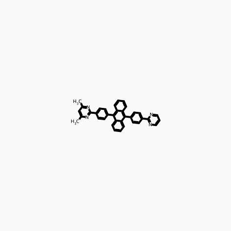 Cc1cc(C)nc(-c2ccc(-c3c4ccccc4c(-c4ccc(-c5ncccn5)cc4)c4ccccc34)cc2)n1